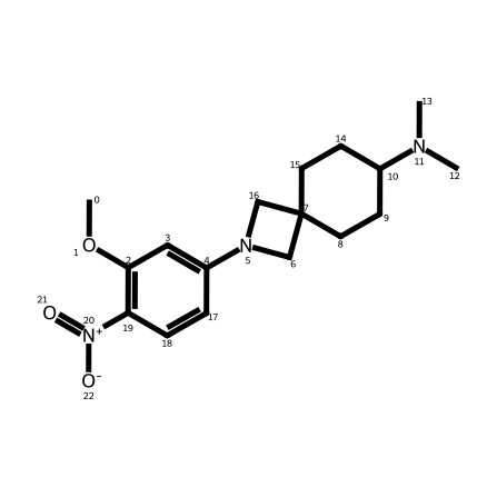 COc1cc(N2CC3(CCC(N(C)C)CC3)C2)ccc1[N+](=O)[O-]